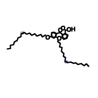 CCCCCCCC/C=C\CCCCCCCCOc1ccc(C(=O)c2ccccc2C(=O)O)c(OCCCCCCCC/C=C\CCCCCCCC)c1